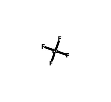 [F][Eu]([F])([F])[F]